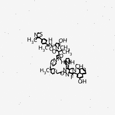 CCc1cccc2cc(O)cc(-c3ncc4c(N5C[C@H]6CC[C@@H](C5)N6)nc(OCCN5CCC(C)(CN6CCN(c7cc(C(C(=O)N8C[C@H](O)C[C@H]8C(=O)N[C@@H](C)c8ccc(-c9scnc9C)cc8)C(C)C)on7)CC6)CC5)nc4c3F)c12